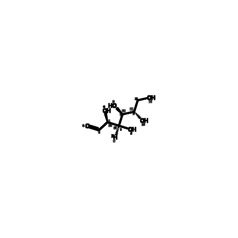 [2H][C@](O)([C@H](O)C=O)[C@@H](O)[C@@H](O)CO